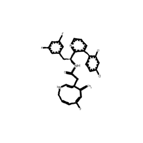 C=C1/C=C(F)\C=C/CN/C=C\1CC(=O)N[C@@H](Cc1cc(F)cc(F)c1)c1ncccc1-c1ccc(Cl)cc1Cl